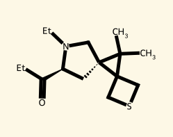 CCC(=O)[C@@H]1C[C@]2(CN1CC)C(C)(C)C21CSC1